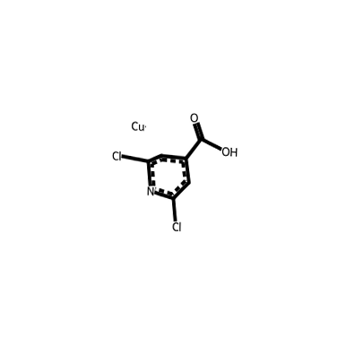 O=C(O)c1cc(Cl)nc(Cl)c1.[Cu]